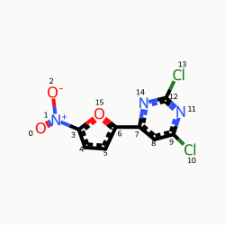 O=[N+]([O-])c1ccc(-c2cc(Cl)nc(Cl)n2)o1